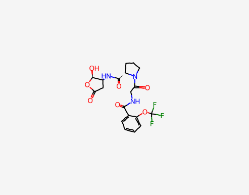 O=C1C[C@H](NC(=O)[C@@H]2CCCN2C(=O)CNC(=O)c2ccccc2OC(F)(F)F)[C@H](O)O1